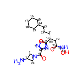 NC1CN(C(=O)c2noc([C@H](CCCC3CCCCC3)CC(=O)NO)n2)C1